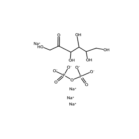 O=C(CO)C(O)C(O)C(O)CO.O=P([O-])([O-])OP(=O)([O-])[O-].[Na+].[Na+].[Na+].[Na+]